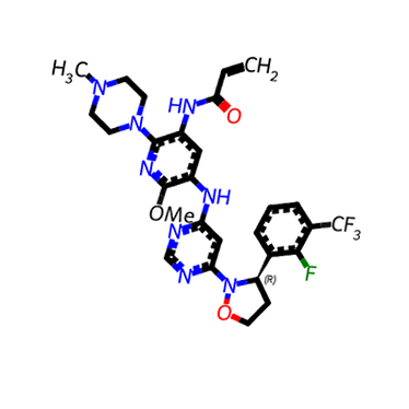 C=CC(=O)Nc1cc(Nc2cc(N3OCC[C@@H]3c3cccc(C(F)(F)F)c3F)ncn2)c(OC)nc1N1CCN(C)CC1